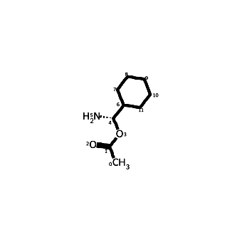 CC(=O)O[C@H](N)C1CCCCC1